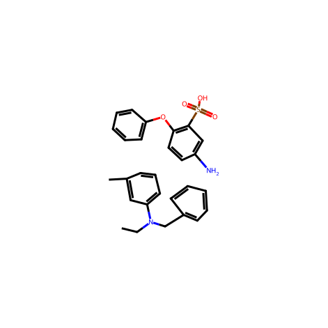 CCN(Cc1ccccc1)c1cccc(C)c1.Nc1ccc(Oc2ccccc2)c(S(=O)(=O)O)c1